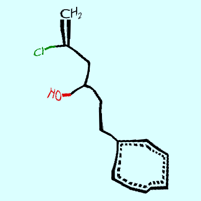 C=C(Cl)CC(O)CCc1ccccc1